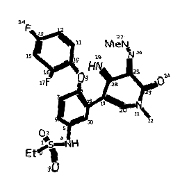 CCS(=O)(=O)Nc1ccc(Oc2ccc(F)cc2F)c(C2=CN(C)C(=O)/C(=N/NC)C2=N)c1